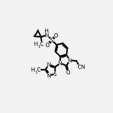 Cc1nsc(-n2c(=O)n(CC#N)c3ccc(S(=O)(=O)NC4(C)CC4)cc32)n1